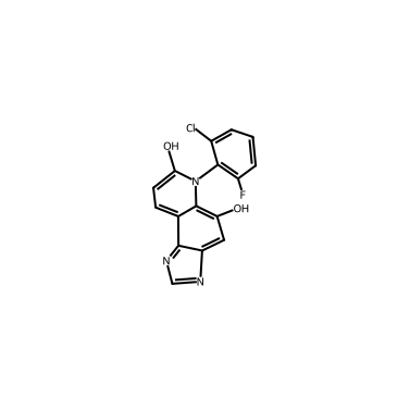 Oc1cc2ncnc2c2ccc(O)n(-c3c(F)cccc3Cl)c12